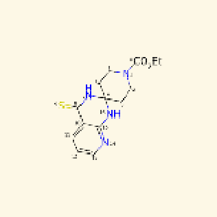 CCOC(=O)N1CCC2(CC1)NC(=S)c1cccnc1N2